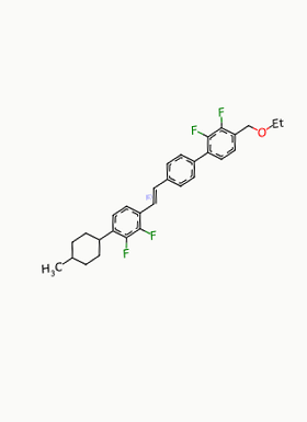 CCOCc1ccc(-c2ccc(/C=C/c3ccc(C4CCC(C)CC4)c(F)c3F)cc2)c(F)c1F